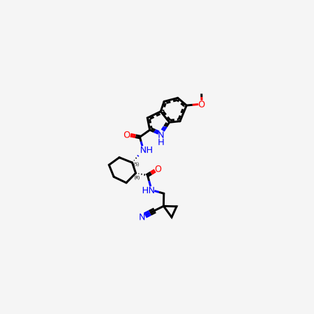 COc1ccc2cc(C(=O)N[C@H]3CCCC[C@H]3C(=O)NCC3(C#N)CC3)[nH]c2c1